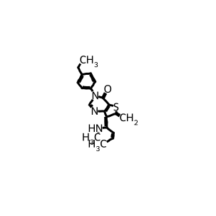 C=c1sc2c(=O)n(-c3ccc(CC)cc3)cnc2/c1=C(/C=C\C)NC